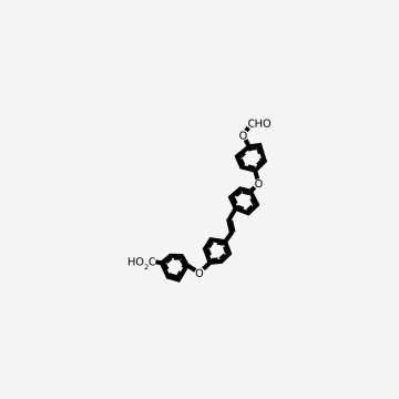 O=COc1ccc(Oc2ccc(/C=C/c3ccc(Oc4ccc(C(=O)O)cc4)cc3)cc2)cc1